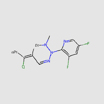 CCC/C(Cl)=C(C)/C=N\N(c1ncc(F)cc1F)N(C)CC